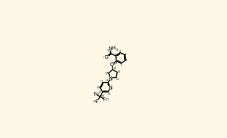 NC(=O)c1ccccc1O[C@H]1CCN(c2ccc(C(F)(F)F)cn2)C1